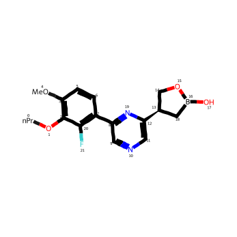 CCCOc1c(OC)ccc(-c2cncc([C@H]3COB(O)C3)n2)c1F